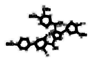 COc1cc(-c2nc(C(S)c3c(F)cc(-c4ccc(C=O)cc4)cc3F)[nH]c2N(C)c2ccc(OC)c(OC)c2)ccc1F